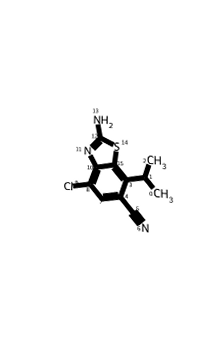 CC(C)c1c(C#N)cc(Cl)c2nc(N)sc12